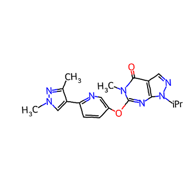 Cc1nn(C)cc1-c1ccc(Oc2nc3c(cnn3C(C)C)c(=O)n2C)cn1